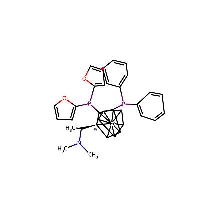 CC(N(C)C)[C@@]12[CH]3[CH]4[C]5(P(c6ccccc6)c6ccccc6)[C]1(P(c1ccco1)c1ccco1)[Fe]43521678[CH]2[CH]1[CH]6[CH]7[CH]28